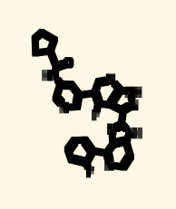 O=C(Nc1cncc(-c2cnc3[nH]nc(-c4nc5c(-c6ccccc6F)nccc5[nH]4)c3c2F)c1)C1CCCC1